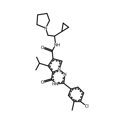 Cc1cc(-c2nn3cc(C(=O)NC(CN4CCCC4)C4CC4)c(C(C)C)c3c(=O)[nH]2)ccc1Cl